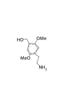 COc1cc(CCN)c(OC)cc1CO